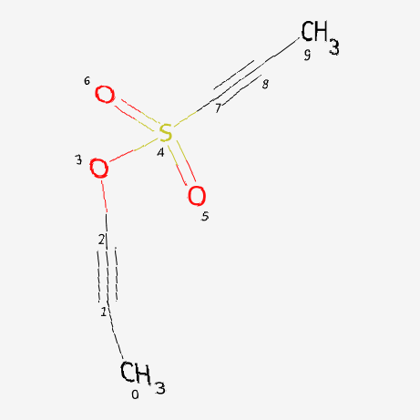 CC#COS(=O)(=O)C#CC